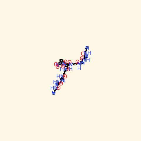 CN(C)CCCNC(=O)c1cc(NC(=O)c2cc(NC(=O)CCCCNC(=O)c3cc(C(=O)NCCCCC(=O)Nc4cc(C(=O)Nc5cc(C(=O)NCCCN(C)C)n(C)c5)n(C)c4)cc(N4C(=O)c5cccc6cc([N+](=O)[O-])cc(c56)C4=O)c3)cn2C)cn1C